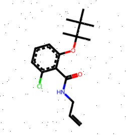 C=CCNC(=O)c1c(Cl)cccc1OC(C)(C)C(C)(C)C